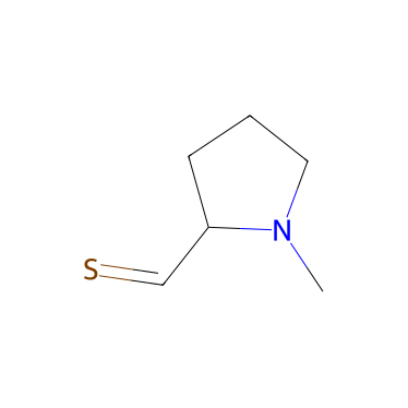 CN1CCCC1C=S